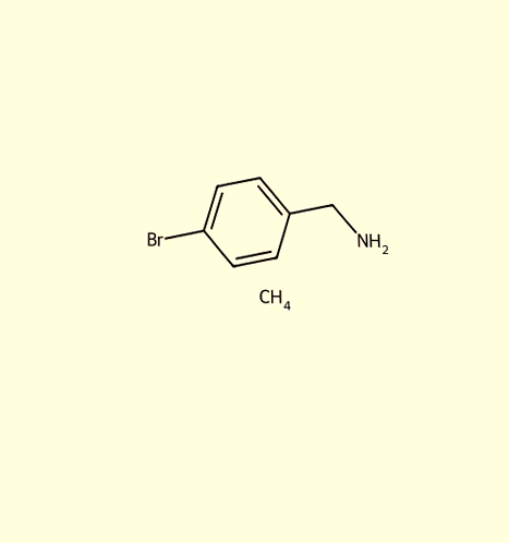 C.NCc1ccc(Br)cc1